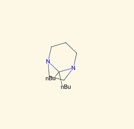 CCCCC1(CCCC)N2CCCN1CC2